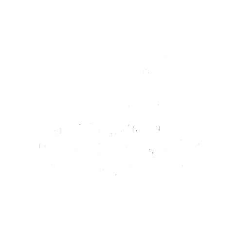 CC1(C)C2=CC=CCC2c2c1ccc1oc3c(-c4nc(-c5ccccc5)nc(-c5ccc6oc7ccccc7c6c5)n4)cccc3c21